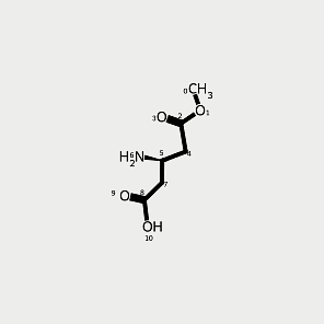 COC(=O)C[C@H](N)CC(=O)O